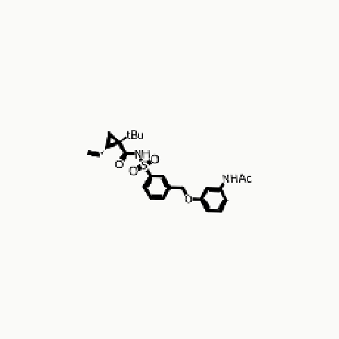 C=C[C@@H]1C[C@@]1(C(=O)NS(=O)(=O)c1cccc(COc2cccc(NC(C)=O)c2)c1)C(C)(C)C